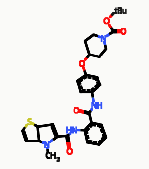 CN1C(C(=O)Nc2ccccc2C(=O)Nc2ccc(OC3CCN(C(=O)OC(C)(C)C)CC3)cc2)=CC2SC=CC21